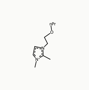 CCCOCCn1cc[n+](C)c1C